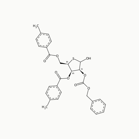 Cc1ccc(C(=O)OC[C@H]2SC(O)[C@@H](OC(=O)OCc3ccccc3)[C@H]2OC(=O)c2ccc(C)cc2)cc1